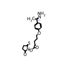 C/C(=N\N)c1ccc(OCCCC2OC2ON2C(=O)CCC2=S)cc1